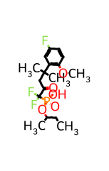 CCC(C)OP(=O)(O)C(F)(F)C(=O)CC(C)(C)c1cc(F)ccc1OC